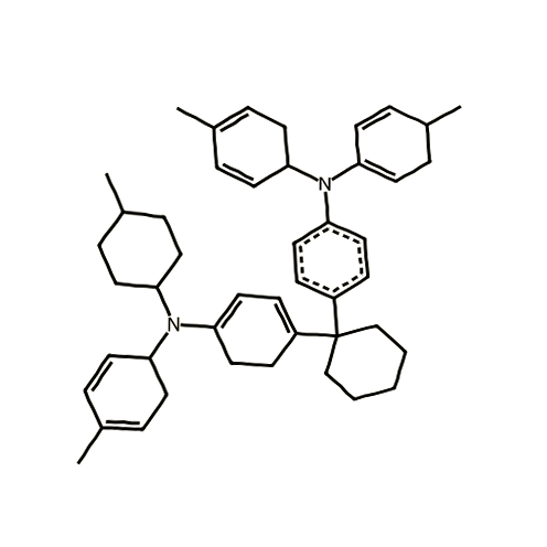 CC1=CCC(N(C2=CCC(C)C=C2)c2ccc(C3(C4=CC=C(N(C5C=CC(C)=CC5)C5CCC(C)CC5)CC4)CCCCC3)cc2)C=C1